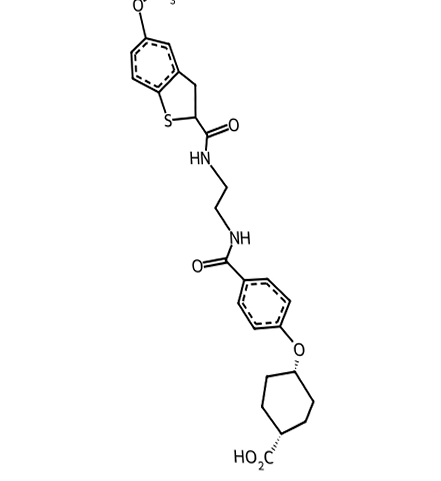 O=C(NCCNC(=O)C1Cc2cc(OC(F)(F)F)ccc2S1)c1ccc(O[C@H]2CC[C@@H](C(=O)O)CC2)cc1